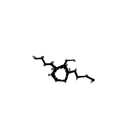 C[CH]c1c(CCCC)cccc1CCCC